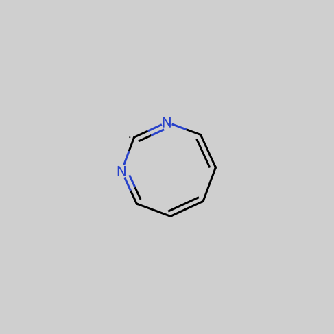 [C]1=NC=CC=CC=N1